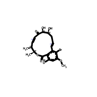 COc1cc(O)c2c(c1Br)/C=C/C[C@H](O)[C@H](O)C(=O)/C=C\[C@H](C)[C@H](C)OC2=O